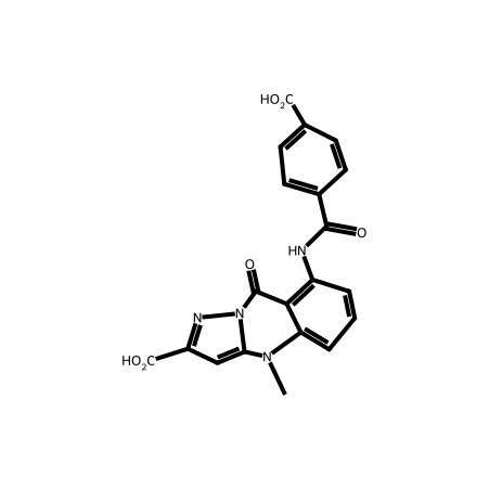 Cn1c2cccc(NC(=O)c3ccc(C(=O)O)cc3)c2c(=O)n2nc(C(=O)O)cc12